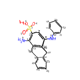 Nc1c(S(=O)(=O)O)cc(Nc2ccccc2)c2c1Cc1ccccc1C2